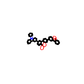 O=c1oc2cc(-c3ccc4oc5ccccc5c4c3)ccc2c2cc(-c3ccc4c(c3)c3ccccc3n4-c3ccccc3)ccc12